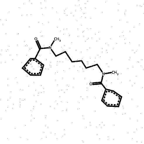 CN(CCCCCCN(C)C(=O)c1ccccc1)C(=O)c1ccccc1